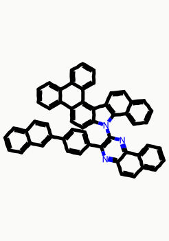 c1ccc2cc(-c3ccc(-c4nc5ccc6ccccc6c5nc4-n4c5ccc6c7ccccc7c7ccccc7c6c5c5ccc6ccccc6c54)cc3)ccc2c1